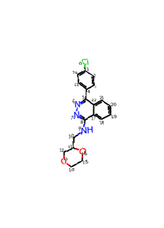 Clc1ccc(-c2nnc(NC[C@@H]3COCCO3)c3ccccc23)cc1